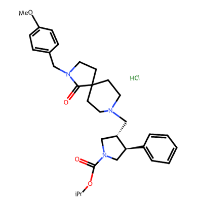 COc1ccc(CN2CCC3(CCN(C[C@H]4CN(C(=O)OC(C)C)C[C@@H]4c4ccccc4)CC3)C2=O)cc1.Cl